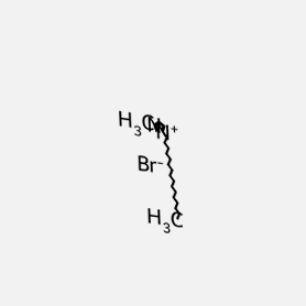 CCCCCCCCCCCCCCCC[n+]1ccn(C)c1.[Br-]